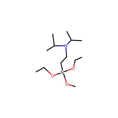 CCO[Si](CCN(C(C)C)C(C)C)(OC)OCC